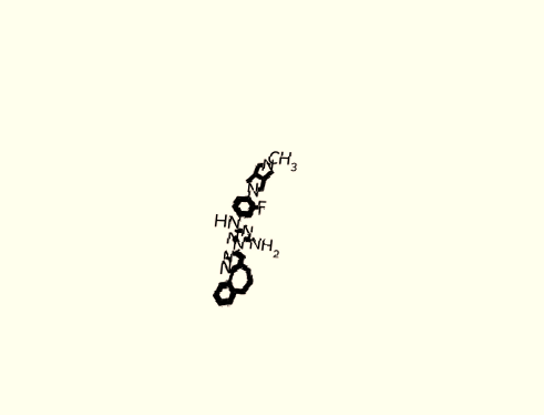 CN1CC2CN(c3ccc(Nc4nc(N)n(-c5cc6c(nn5)-c5ccccc5CCC6)n4)cc3F)CC2C1